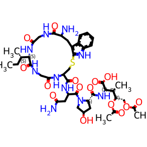 CC[C@H](C)[C@@H]1NC(=O)CNC(=O)C(N)Cc2c([nH]c3ccccc23)SCC(C(=O)NC(CC(N)=O)C(=O)N2CC(O)C[C@H]2C(=O)N[C@H](C(=O)O)[C@@H](C)[C@H](COC(C)=O)OC(C)=O)NC(=O)CNC1=O